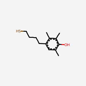 Cc1cc(CCCCS)c(C)c(C)c1O